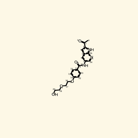 CC(=O)c1cc2cc(NC(=O)c3ccc(OCCOCCO)cc3)cnc2[nH]1